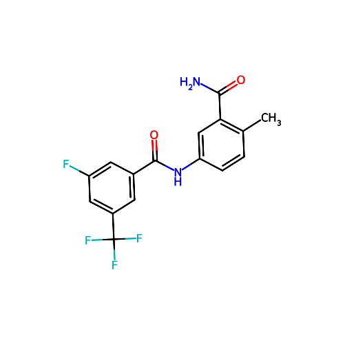 Cc1ccc(NC(=O)c2cc(F)cc(C(F)(F)F)c2)cc1C(N)=O